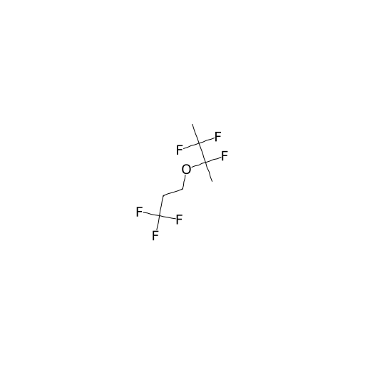 CC(F)(F)C(C)(F)OCCC(F)(F)F